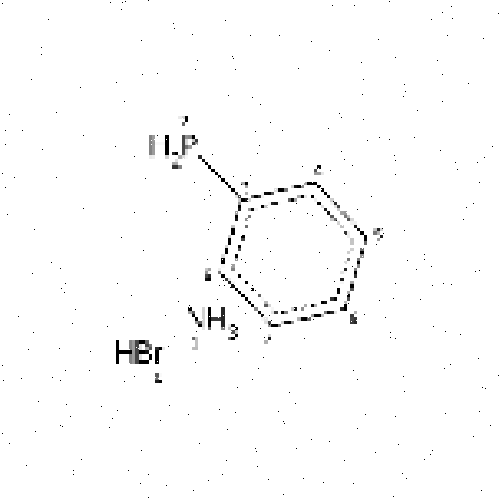 Br.N.Pc1ccccc1